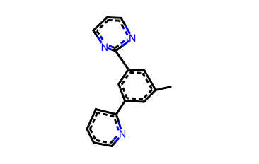 Cc1cc(-c2ccccn2)cc(-c2ncccn2)c1